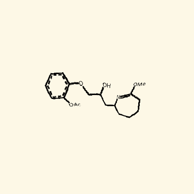 COC1=NC(CC(O)COc2ccccc2OC(C)=O)CCCC1